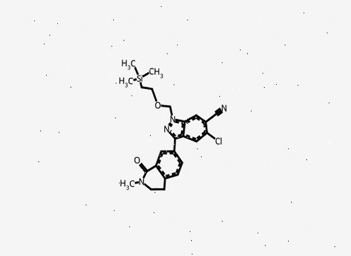 CN1CCc2ccc(-c3nn(COCC[Si](C)(C)C)c4cc(C#N)c(Cl)cc34)cc2C1=O